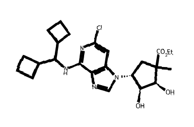 CCOC(=O)C1(C)C[C@@H](n2cnc3c(NC(C4CCC4)C4CCC4)nc(Cl)cc32)[C@H](O)[C@@H]1O